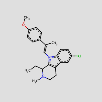 CCC1c2c(c3cc(Cl)ccc3n2C=C(C)c2ccc(OC)cc2)CCN1C